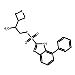 CC(COS(=O)(=O)c1nc2cccc(-c3ccccc3)c2[nH]1)C1COC1